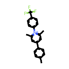 Cc1ccc(-c2cc(C)[n+](-c3ccc(C(F)(F)F)cc3)c(C)c2)cc1